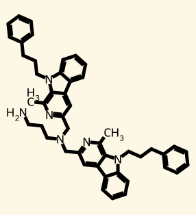 Cc1nc(CN(CCCN)Cc2cc3c4ccccc4n(CCCc4ccccc4)c3c(C)n2)cc2c3ccccc3n(CCCc3ccccc3)c12